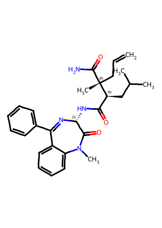 C=CC[C@@](C)(C(N)=O)[C@@H](CC(C)C)C(=O)N[C@H]1N=C(c2ccccc2)c2ccccc2N(C)C1=O